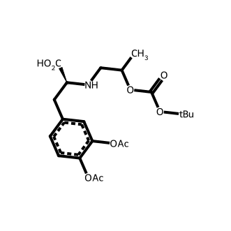 CC(=O)Oc1ccc(C[C@H](NCC(C)OC(=O)OC(C)(C)C)C(=O)O)cc1OC(C)=O